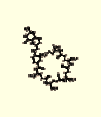 Nc1nc2c(c(=O)[nH]1)NC(CNc1ccc(C(=O)N[C@@H](CCC(=O)N[C@@H](CCC(=O)N[C@@H](CCC(=O)N[C@@H](CCC(=O)N[C@@H](CCC(=O)O)C(=O)O)C(=O)O)C(=O)O)C(=O)O)C(=O)O)cc1)CN2